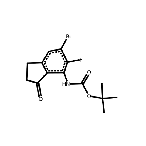 CC(C)(C)OC(=O)Nc1c(F)c(Br)cc2c1C(=O)CC2